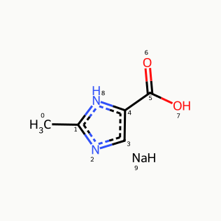 Cc1ncc(C(=O)O)[nH]1.[NaH]